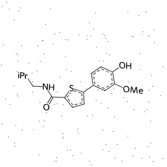 COc1cc(-c2ccc(C(=O)NCC(C)C)s2)ccc1O